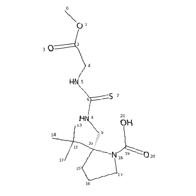 COC(=O)CNC(=S)NC[C@@]1(C(C)(C)C)CCCN1C(=O)O